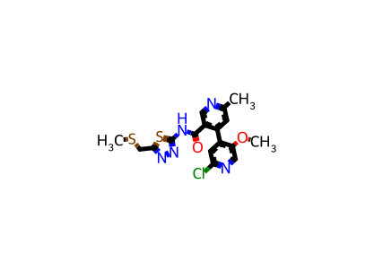 COc1cnc(Cl)cc1-c1cc(C)ncc1C(=O)Nc1nnc(CSC)s1